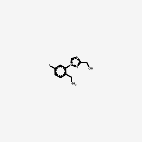 NCc1ccc(F)cc1-n1cnc(CO)n1